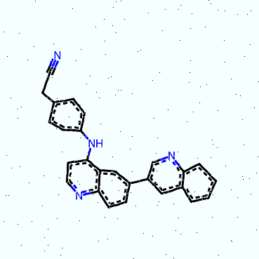 N#CCc1ccc(Nc2ccnc3ccc(-c4cnc5ccccc5c4)cc23)cc1